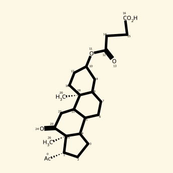 CC(=O)[C@H]1CCC2C3CCC4CC(OC(=O)CCC(=O)O)CC[C@]4(C)C3CC(=O)[C@@]21C